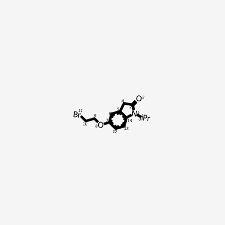 CC(C)N1C(=O)Cc2cc(OCCBr)ccc21